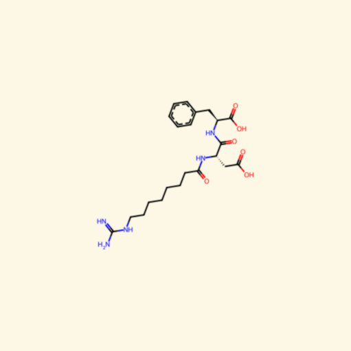 N=C(N)NCCCCCCCC(=O)N[C@@H](CC(=O)O)C(=O)N[C@@H](Cc1ccccc1)C(=O)O